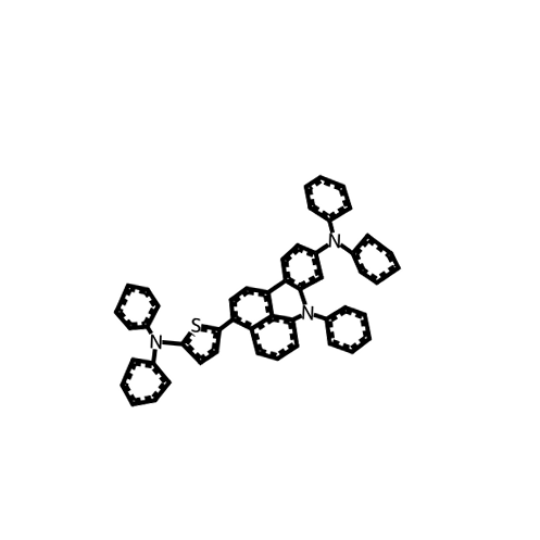 c1ccc(N(c2ccccc2)c2ccc3c(c2)N(c2ccccc2)c2cccc4c(-c5ccc(N(c6ccccc6)c6ccccc6)s5)ccc-3c24)cc1